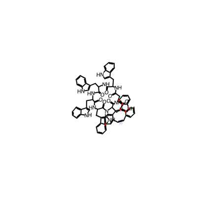 NC(=O)C(Cc1c[nH]c2ccccc12)NC(=O)C(Cc1c[nH]c2ccccc12)NC(=O)C(Cc1c[nH]c2ccccc12)NC(=O)C(Cc1c[nH]c2ccccc12)NC(=O)C(Cc1c[nH]c2ccccc12)NC(=O)CCC(=O)N1Cc2ccccc2/C=C\c2ccccc21